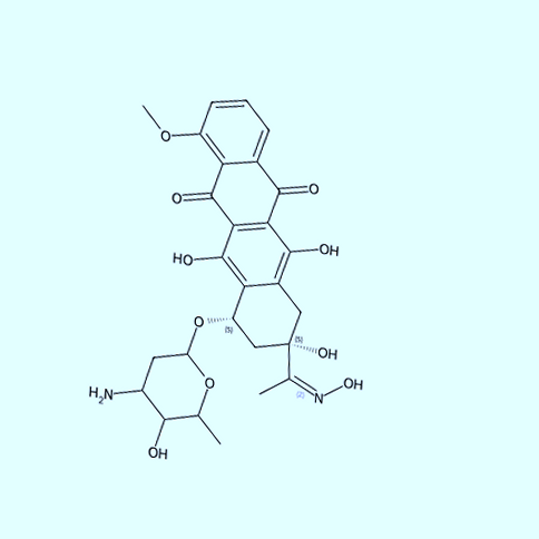 COc1cccc2c1C(=O)c1c(O)c3c(c(O)c1C2=O)C[C@@](O)(/C(C)=N\O)C[C@@H]3OC1CC(N)C(O)C(C)O1